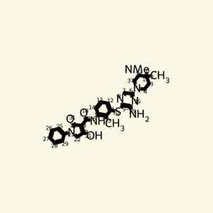 CNC1(C)CCN(c2cnc(Sc3cccc(NC(=O)C4=C(O)CN(c5ccccc5)C4=O)c3C)c(N)n2)CC1